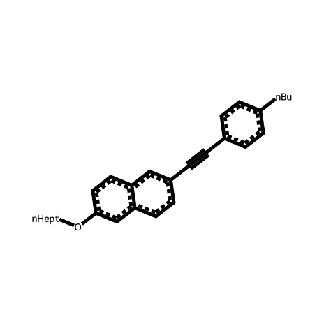 CCCCCCCOc1ccc2cc(C#Cc3ccc(CCCC)cc3)ccc2c1